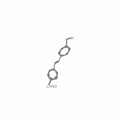 CC(C)Cc1ccc(C=Cc2ccc(C=O)cc2)cc1